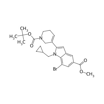 COC(=O)c1cc(Br)c2c(c1)cc(C1=CCCN(C(=O)OC(C)(C)C)C1)n2CC1CC1